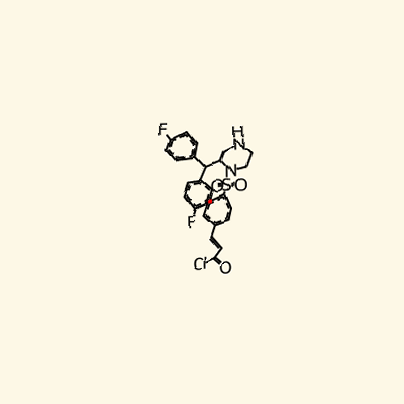 O=C(Cl)/C=C/c1ccc(S(=O)(=O)N2CCNCC2C(c2ccc(F)cc2)c2ccc(F)cc2)cc1